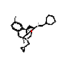 Cc1ccc2c(c1)[C@]13CCN(CC4CC4)[C@H](C2)[C@]12CCC(NCC1CCCCC1)(CO2)C3